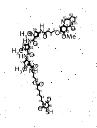 COc1cc2c(cc1OCCCC(=O)Nc1cc(C(=O)Nc3cc(C(=O)Nc4cc(C(=O)NCCCOC(=O)CCCCCN5C(=O)CC(S)C5=O)n(C)c4)n(C)c3)n(C)c1)N=CC1CCCN1C2=O